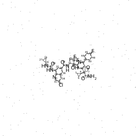 NC(=O)[C@@]1(C2CC2)COc2c1cc([C@@](O)(CNC(=O)c1cc(NC(=O)NC3CC3)c3ncc(Cl)cc3c1)C(F)(F)F)nc2-c1ccc(F)cc1